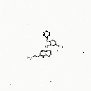 CCCc1ccc2c(Nc3cc(C)ccc3Sc3ccccc3)ccnc2n1